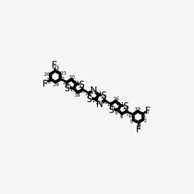 Fc1cc(F)cc(-c2cc3sc(-c4nc5sc(-c6cc7sc(-c8cc(F)cc(F)c8)cc7s6)nc5s4)cc3s2)c1